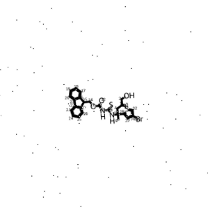 C=C(CO)CC(C)(NC(=S)NC(=O)OCC1c2ccccc2-c2ccccc21)c1cc(Br)cs1